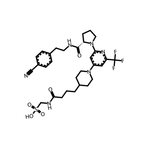 N#Cc1ccc(CCNC(=O)[C@@H]2CCCN2c2cc(N3CCC(CCCC(=O)NCS(=O)(=O)O)CC3)cc(C(F)(F)F)n2)cc1